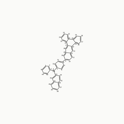 c1ccc(N(c2ccc(-c3ccc4cc5c6ccccc6c6ccccc6c5cc4c3)cc2)c2ccc3ccccc3c2)cc1